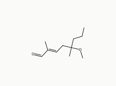 CCCC(C)(C/C=C(\C)C=O)OC